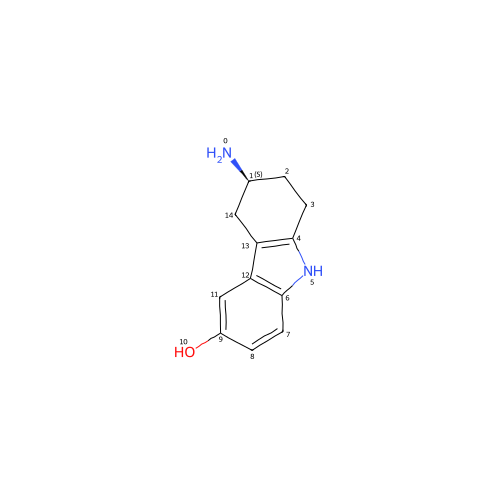 N[C@H]1CCc2[nH]c3ccc(O)cc3c2C1